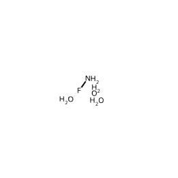 NF.O.O.O